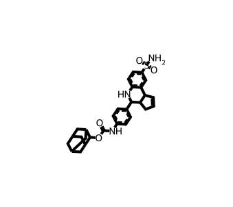 NS(=O)(=O)c1ccc2c(c1)C1C=CCC1C(c1ccc(NC(=O)OC3C4CC5CC(C4)CC3C5)cc1)N2